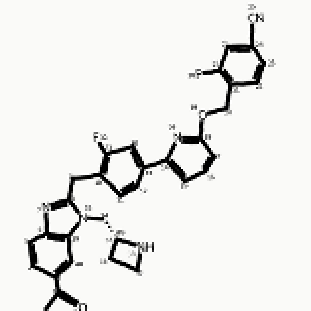 COC(=O)c1ccc2nc(Cc3ccc(-c4cccc(OCc5ccc(C#N)cc5F)n4)cc3F)n(C[C@H]3CCN3)c2c1